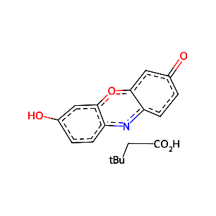 CC(C)(C)CC(=O)O.O=c1ccc2nc3ccc(O)cc3oc-2c1